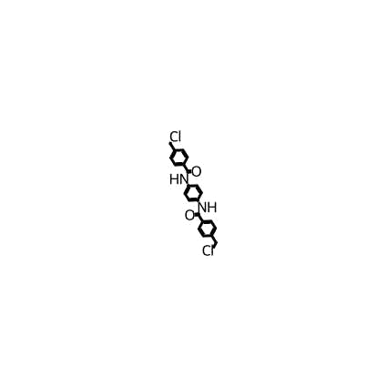 O=C(Nc1ccc(NC(=O)c2ccc(CCl)cc2)cc1)c1ccc(CCl)cc1